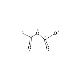 CC(=O)OC([O])=O